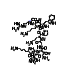 N=C(N)NCC/C=C(\NC(=O)[C@H](CCCCN)NC(=O)C(Cc1c[nH]c2ccccc12)NC(=O)[C@@H]1CCCN1C(=O)[C@@H](CCCN)NC(=O)CNC(=O)[C@@H](NC(=O)[C@@H](NC(=O)C(N)CCCCN)[C@@H](O)CN)[C@@H](O)CN)C(=O)O